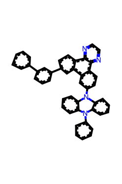 c1ccc(-c2cccc(-c3ccc4c(c3)c3cc(N5c6ccccc6N(c6ccccc6)c6ccccc65)ccc3c3nccnc43)c2)cc1